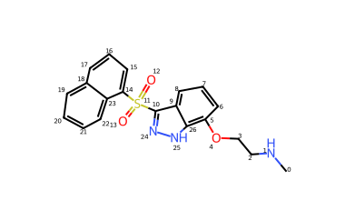 CNCCOc1cccc2c(S(=O)(=O)c3cccc4ccccc34)n[nH]c12